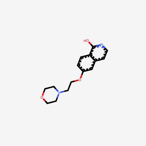 Oc1nccc2cc(OCCN3CCOCC3)ccc12